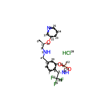 C[C@H](CNCc1ccc([C@H](NS(C)(=O)=O)C(F)(F)F)cc1)Oc1cccnc1.Cl